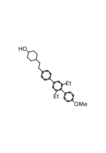 CCc1cc(-c2ccc(CCC3CCC(O)CC3)cc2)cc(CC)c1-c1ccc(OC)cc1